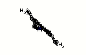 C=CC(=O)OCCCCCCOc1ccc(OC(=O)C2CCC(COc3ccc(OCC4CCC(C(=O)Oc5ccc(OCCCCCCOC(=O)C=C)cc5)CC4)c(/C=N/N(c4nc5ccccc5s4)C(C)C)c3)CC2)cc1